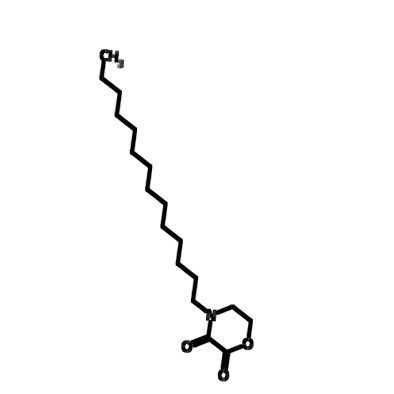 CCCCCCCCCCCCCCN1CCOC(=O)C1=O